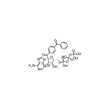 Nc1ncnc2c1ncn2[C@]1(C(=O)c2ccc(C(=O)c3ccccc3)cc2)O[C@H](COP(=O)(O)OP(=O)(O)OP(=O)(O)O)[C@@H](O)[C@H]1O